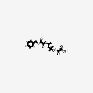 CC(CC(C)(C)OOC(=O)C(=O)O)OC(=O)C(=O)OCc1ccccc1